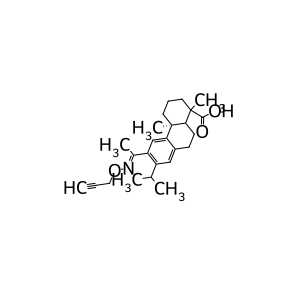 C#CCO/N=C(\C)c1cc2c(cc1C(C)C)CCC1C(C)(C(=O)O)CCC[C@]21C